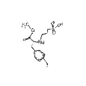 COC(=O)[C@@H](Cc1ccc(I)cc1)NCCCS(=O)(=O)O